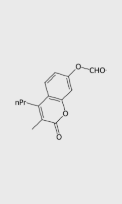 CCCc1c(C)c(=O)oc2cc(O[C]=O)ccc12